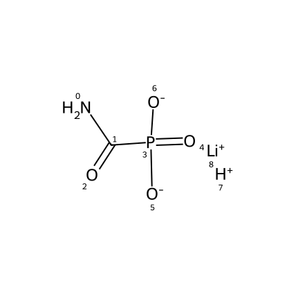 NC(=O)P(=O)([O-])[O-].[H+].[Li+]